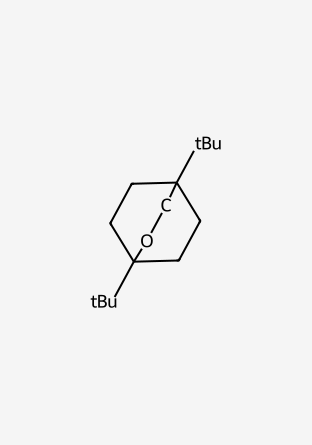 CC(C)(C)C12CCC(C(C)(C)C)(CC1)OC2